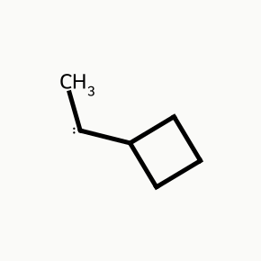 C[C]C1CCC1